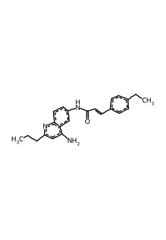 CCCc1cc(N)c2cc(NC(=O)/C=C/c3ccc(CC)cc3)ccc2n1